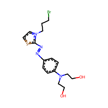 OCCN(CCO)c1ccc(N=Nc2scc[n+]2CCCBr)cc1